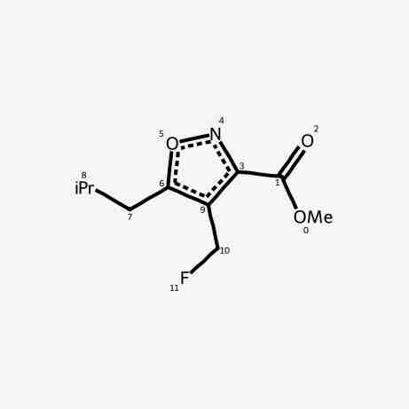 COC(=O)c1noc(CC(C)C)c1CF